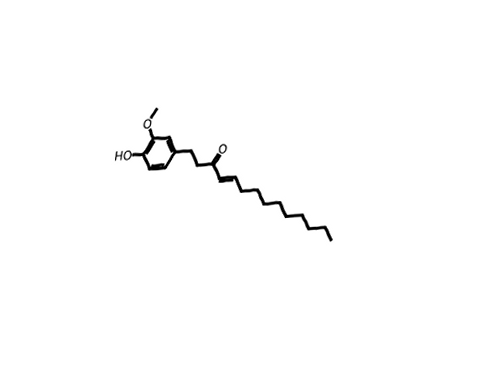 CCCCCCCCC/C=C/C(=O)CCc1ccc(O)c(OC)c1